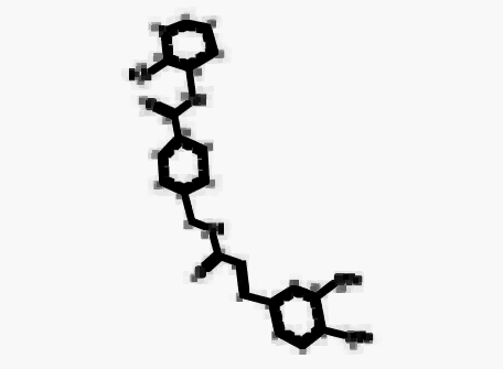 COc1ccc(C=CC(=O)NCc2ccc(C(=O)Nc3cccnc3N)cc2)cc1OC